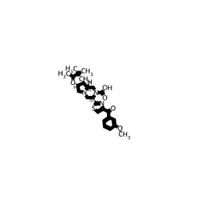 COc1cccc(C(=O)c2csc([C@@H]3CN4C[C@H](OC(C)C(C)(C)C)C[C@@H]4CN3C(=O)O)n2)c1